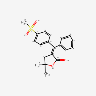 CC1(C)C/C(=C(/c2ccccc2)c2ccc(S(C)(=O)=O)cc2)C(=O)O1